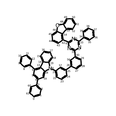 c1ccc(-c2cc(-c3ccccc3)c3c4ccccc4n(-c4cccc(-c5cccc(-c6nc(-c7ccccc7)nc(-c7cccc8oc9ccccc9c78)n6)c5)c4)c3c2)cc1